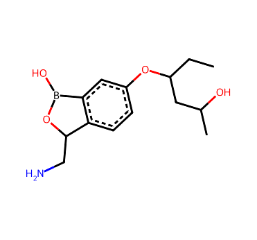 CCC(CC(C)O)Oc1ccc2c(c1)B(O)OC2CN